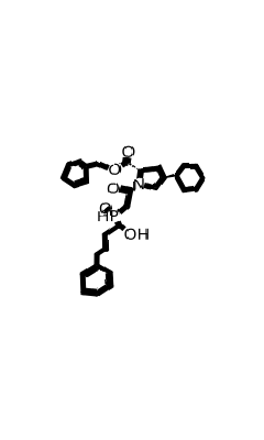 O=C(OCc1ccccc1)[C@@H]1C[C@@H](C2CCCCC2)CN1C(=O)C[PH](=O)C(O)CCCc1ccccc1